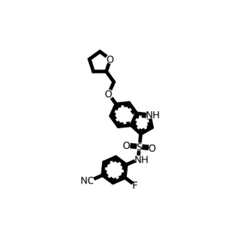 N#Cc1ccc(NS(=O)(=O)c2c[nH]c3cc(OCC4CCCO4)ccc23)c(F)c1